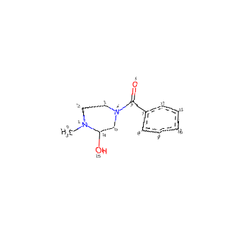 CN1CCN(C(=O)c2cc[c]cc2)CC1O